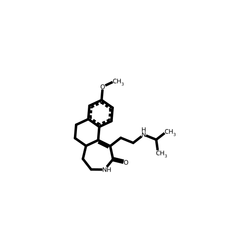 COc1ccc2c(c1)CCC1CCNC(=O)C(CCNC(C)C)=C21